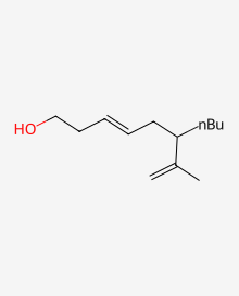 C=C(C)C(CC=CCCO)CCCC